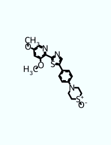 COc1cnc(-c2ncc(-c3ccc(N4CC[S+]([O-])CC4)cc3)s2)c(OC)c1